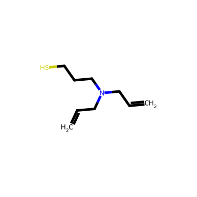 C=CCN(CC=C)CCCS